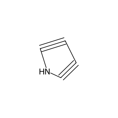 c1c#c[nH]c#1